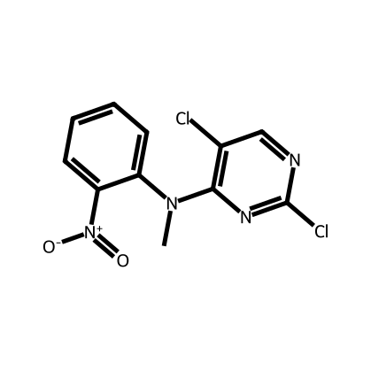 CN(c1ccccc1[N+](=O)[O-])c1nc(Cl)ncc1Cl